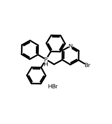 Br.Brc1cncc(C[PH](c2ccccc2)(c2ccccc2)c2ccccc2)c1